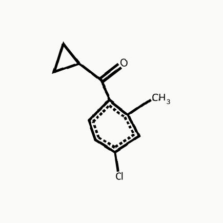 Cc1cc(Cl)ccc1C(=O)C1CC1